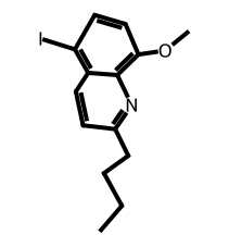 CCCCc1ccc2c(I)ccc(OC)c2n1